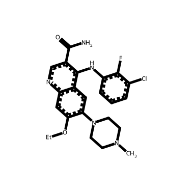 CCOc1cc2ncc(C(N)=O)c(Nc3cccc(Cl)c3F)c2cc1N1CCN(C)CC1